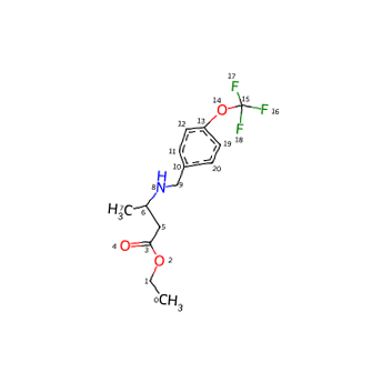 CCOC(=O)CC(C)NCc1ccc(OC(F)(F)F)cc1